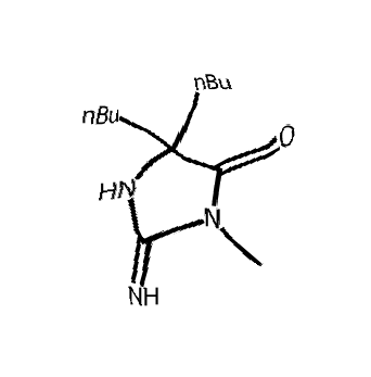 CCCCC1(CCCC)NC(=N)N(C)C1=O